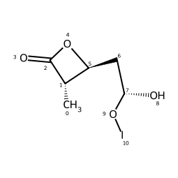 C[C@@H]1C(=O)O[C@H]1C[C@H](O)OI